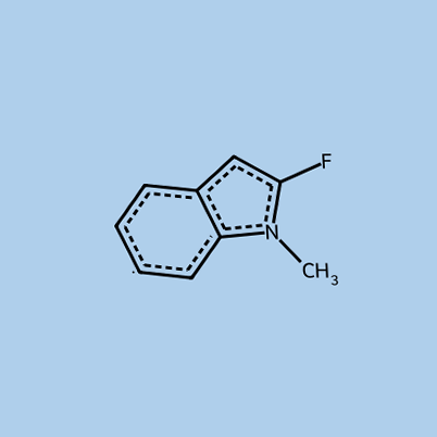 Cn1c(F)cc2cc[c]cc21